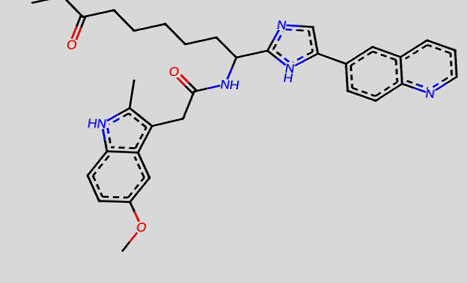 CCC(=O)CCCCCC(NC(=O)Cc1c(C)[nH]c2ccc(OC)cc12)c1ncc(-c2ccc3ncccc3c2)[nH]1